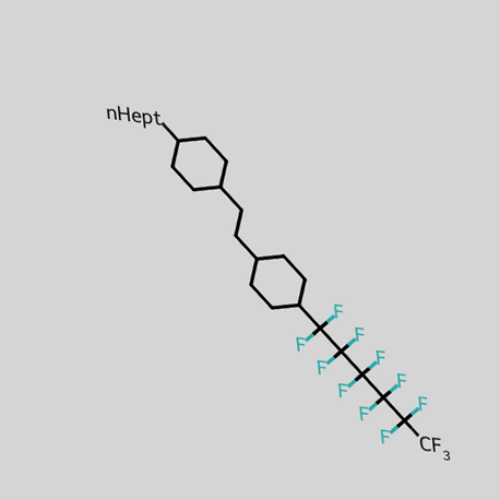 CCCCCCCC1CCC(CCC2CCC(C(F)(F)C(F)(F)C(F)(F)C(F)(F)C(F)(F)C(F)(F)F)CC2)CC1